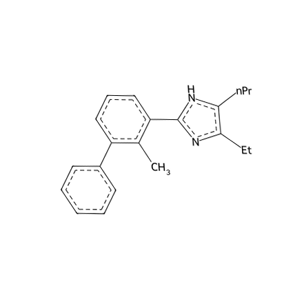 CCCc1[nH]c(-c2cccc(-c3ccccc3)c2C)nc1CC